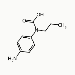 CCCN(C(=O)O)c1ccc(N)cc1